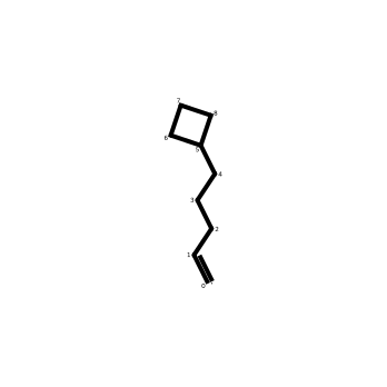 [CH]=CCCCC1CCC1